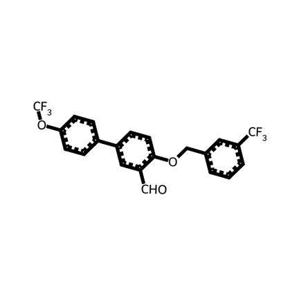 O=Cc1cc(-c2ccc(OC(F)(F)F)cc2)ccc1OCc1cccc(C(F)(F)F)c1